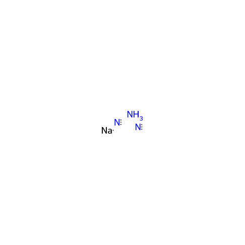 N.[N].[N].[Na]